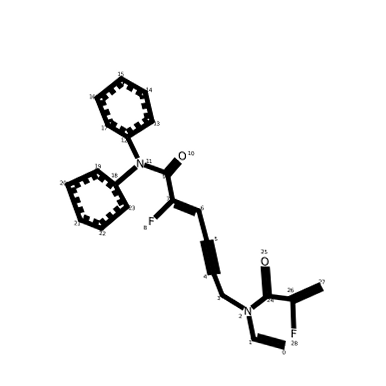 C=CN(CC#C/C=C(\F)C(=O)N(c1ccccc1)c1ccccc1)C(=O)C(=C)F